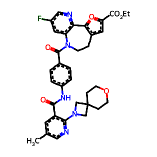 CCOC(=O)c1cc2c(o1)-c1ncc(F)cc1N(C(=O)c1ccc(NC(=O)c3cc(C)cnc3N3CC4(CCOCC4)C3)cc1)CC2